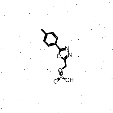 Cc1ccc(-c2nnc(CO[PH](=O)O)o2)cc1